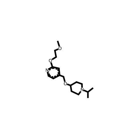 COCCOc1cc(COC2CCN(C(C)C)CC2)ccn1